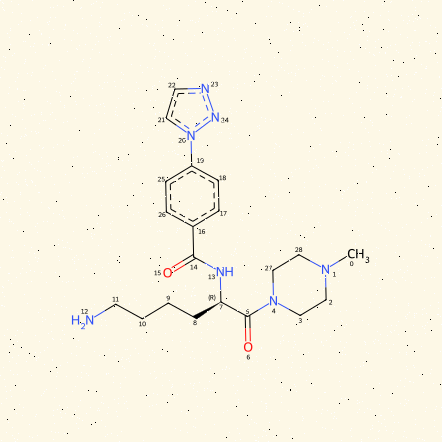 CN1CCN(C(=O)[C@@H](CCCCN)NC(=O)c2ccc(-n3ccnn3)cc2)CC1